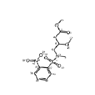 COC(=O)CC(CN(C)S(=O)(=O)c1ccccc1[N+](=O)[O-])OC